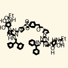 CCC(=O)N[C@H]1C[C@@H](n2cnc3c(NCC(c4ccccc4)c4ccccc4)nc(N4CC[C@@H](CS(=O)(=O)c5ccc(CC(=O)C[C@@H]6CCN(c7nc(NCC(c8ccccc8)c8ccccc8)c8ncn([C@@H]9C[C@H](NC(=O)CC)[C@@H](O)[C@H]9O)c8n7)C6)cc5)C4)nc32)[C@H](O)[C@@H]1O